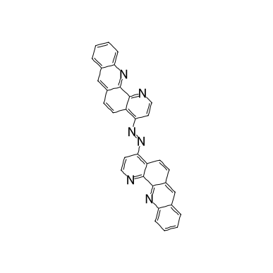 c1ccc2nc3c(ccc4c(N=Nc5ccnc6c5ccc5cc7ccccc7nc56)ccnc43)cc2c1